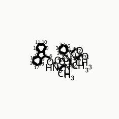 C[C@H](NC(=O)OCC1c2ccccc2-c2ccccc21)C(=O)N[C@@H](C)C(=O)N1[C@@H](C)C(=O)OC[C@H]1c1ccccc1